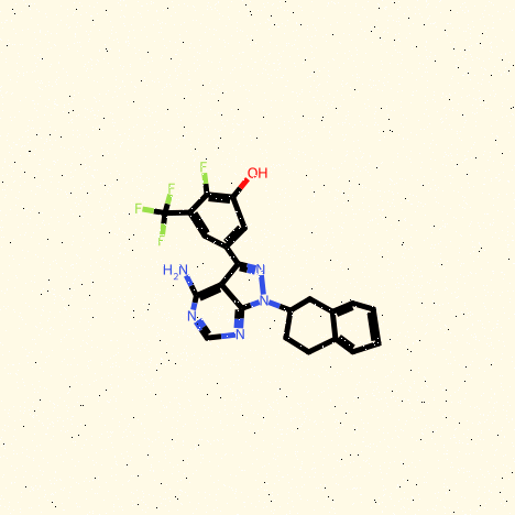 Nc1ncnc2c1c(-c1cc(O)c(F)c(C(F)(F)F)c1)nn2C1CCc2ccccc2C1